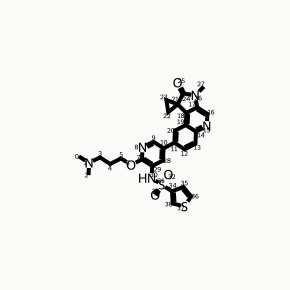 CN(C)CCCOc1ncc(-c2ccc3ncc4c(c3c2)C2(CC2)C(=O)N4C)cc1NS(=O)(=O)c1ccsc1